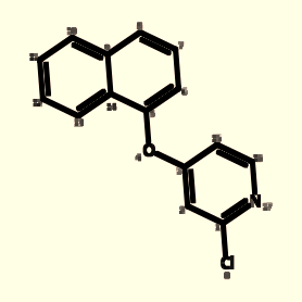 Clc1cc(Oc2cccc3ccccc23)ccn1